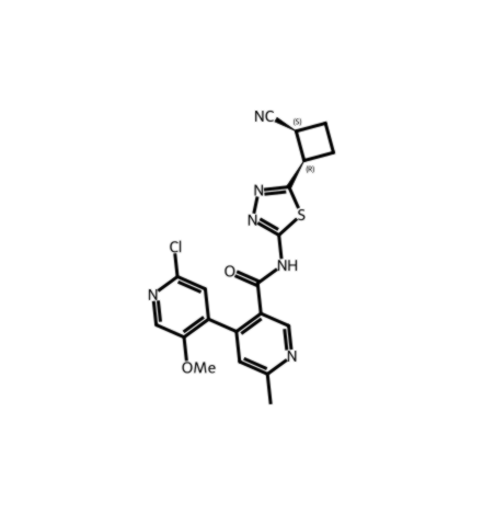 COc1cnc(Cl)cc1-c1cc(C)ncc1C(=O)Nc1nnc([C@@H]2CC[C@@H]2C#N)s1